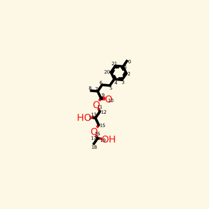 Cc1ccc(CCC(C)C(=O)OCC(O)COC(C)O)cc1